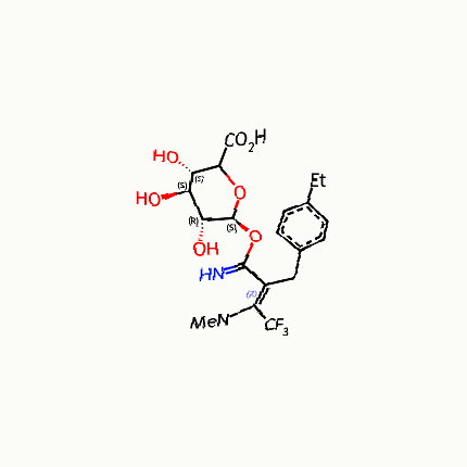 CCc1ccc(C/C(C(=N)O[C@@H]2OC(C(=O)O)[C@@H](O)[C@H](O)[C@H]2O)=C(/NC)C(F)(F)F)cc1